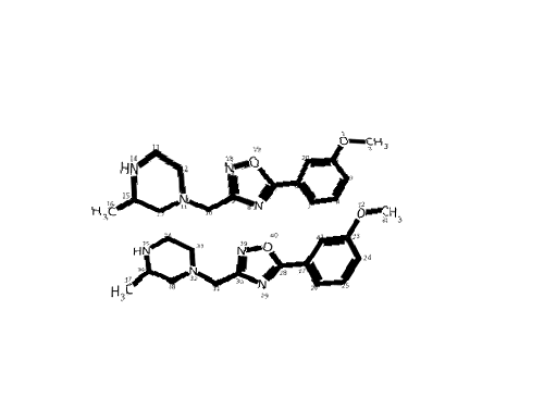 COc1cccc(-c2nc(CN3CCNC(C)C3)no2)c1.COc1cccc(-c2nc(CN3CCNC(C)C3)no2)c1